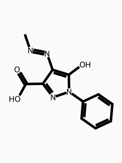 C/N=N/c1c(C(=O)O)nn(-c2ccccc2)c1O